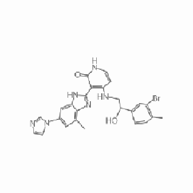 Cc1ccc(C(O)CNc2cc[nH]c(=O)c2-c2nc3c(C)cc(-n4ccnc4)cc3[nH]2)cc1Br